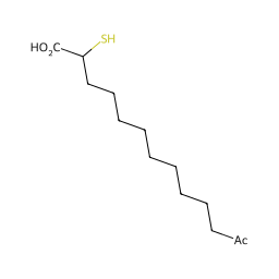 CC(=O)CCCCCCCCCC(S)C(=O)O